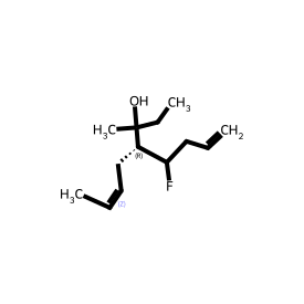 C=CCC(F)[C@H](C/C=C\C)C(C)(O)CC